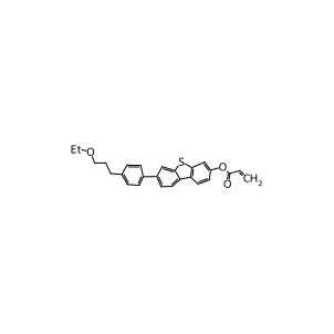 C=CC(=O)Oc1ccc2c(c1)sc1cc(-c3ccc(CCCOCC)cc3)ccc12